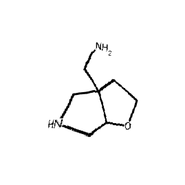 NCC12CCOC1CNC2